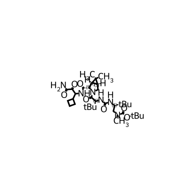 CN(C[C@@H](NC(=O)N[C@H](C(=O)N1C[C@H]2[C@@H]([C@H]1C(=O)NC(C(=O)C(N)=O)C1CCC1)C2(C)C)C(C)(C)C)C(C)(C)C)C(=O)OC(C)(C)C